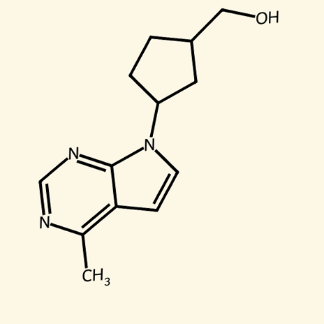 Cc1ncnc2c1ccn2C1CCC(CO)C1